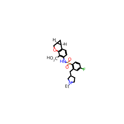 CCN1CCC(Cc2cc(F)ccc2S(=O)(=O)Nc2ccc3c(c2C(=O)O)OC[C@H]2C[C@@H]32)C1